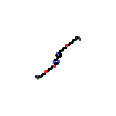 CCCCCCOCCCCc1ccc(-c2cnc(OCCCCOCCCC)cn2)cn1